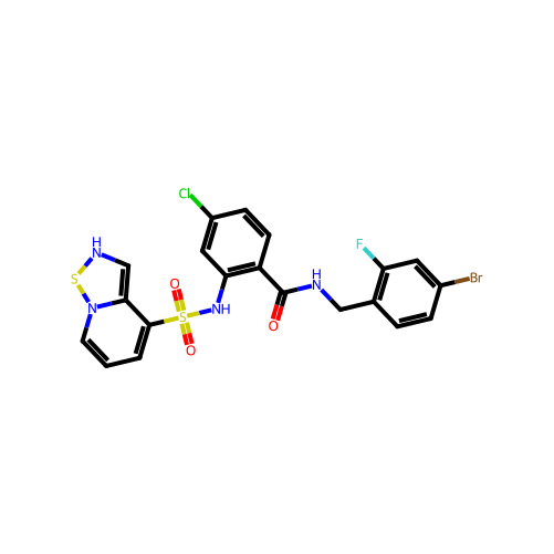 O=C(NCc1ccc(Br)cc1F)c1ccc(Cl)cc1NS(=O)(=O)C1=CC=CN2SNC=C12